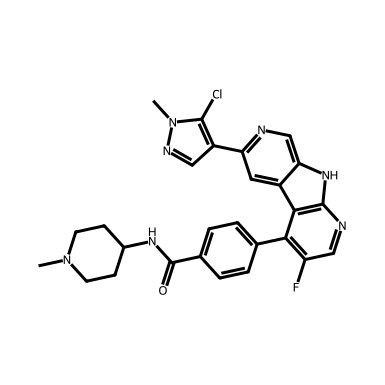 CN1CCC(NC(=O)c2ccc(-c3c(F)cnc4[nH]c5cnc(-c6cnn(C)c6Cl)cc5c34)cc2)CC1